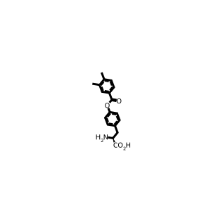 Cc1ccc(C(=O)Oc2ccc(C[C@H](N)C(=O)O)cc2)cc1C